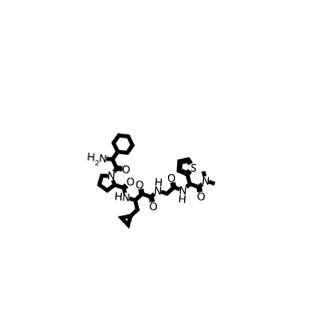 CN(C)C(=O)C(NC(=O)CNC(=O)C(=O)C(CC1CC1)NC(=O)C1CCCN1C(=O)C(N)C1CCCCC1)c1cccs1